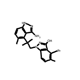 Cc1ccc2[nH]nc(N)c2c1C(C)(C)Cn1nc(O)c2c(C(C)C)c(C)ccc21